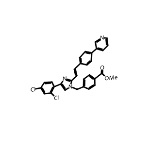 COC(=O)c1ccc(Cn2cc(-c3ccc(Cl)cc3Cl)nc2C=Cc2ccc(-c3cccnc3)cc2)cc1